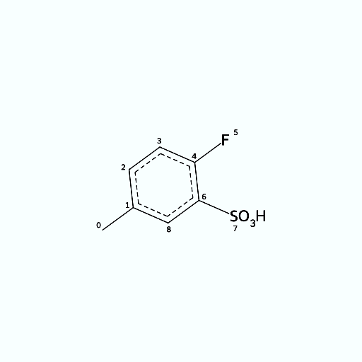 Cc1ccc(F)c(S(=O)(=O)O)c1